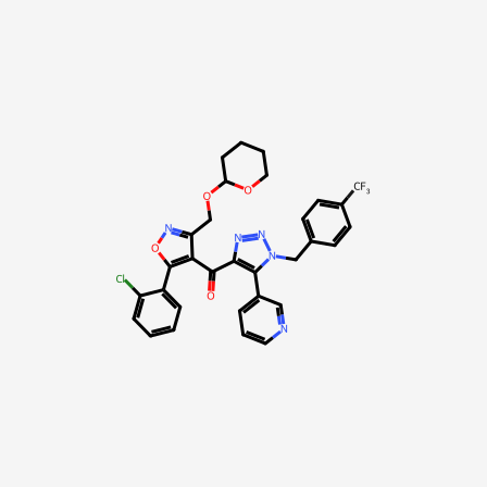 O=C(c1nnn(Cc2ccc(C(F)(F)F)cc2)c1-c1cccnc1)c1c(COC2CCCCO2)noc1-c1ccccc1Cl